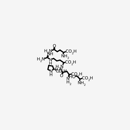 N=C(N)NCCCC(N)C(=O)O.NC(=O)CC(N)C(=O)O.NC(=O)CCC(N)C(=O)O.NC(CO)C(=O)O.O=C(O)[C@@H]1CCCN1